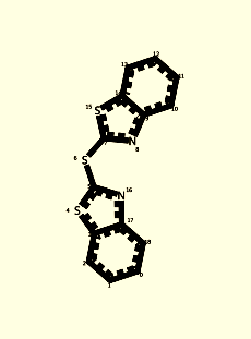 c1ccc2sc(Sc3nc4ccccc4s3)nc2c1